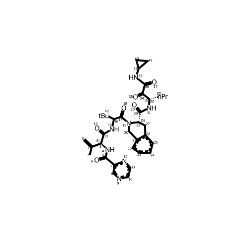 C=C(C)[C@H](NC(=O)c1cnccn1)C(=O)NC(C(=O)N1Cc2ccccc2C[C@H]1C(=O)N[C@@H](CCC)C(=O)C(=O)NC1CC1)C(C)(C)C